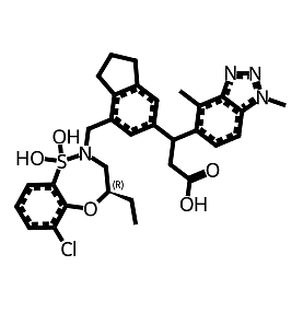 CC[C@@H]1CN(Cc2cc(C(CC(=O)O)c3ccc4c(nnn4C)c3C)cc3c2CCC3)S(O)(O)c2cccc(Cl)c2O1